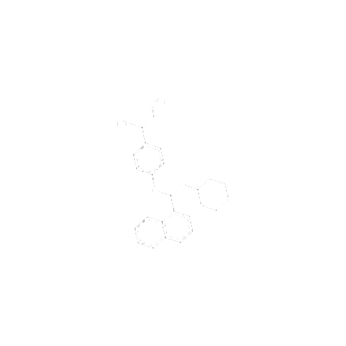 CC(C)C(CC(C)(C)C)c1ccc(OC(OC2CCCCC2)c2cccc3ccccc23)cc1